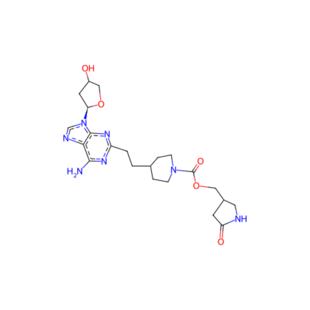 Nc1nc(CCC2CCN(C(=O)OCC3CNC(=O)C3)CC2)nc2c1ncn2[C@H]1CC(O)CO1